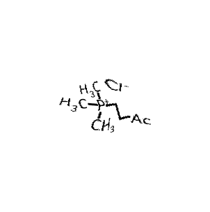 CC(=O)CC[P+](C)(C)C.[Cl-]